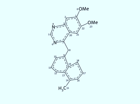 COc1cc2ncnc(Cc3cccc4c(C)cccc34)c2cc1OC